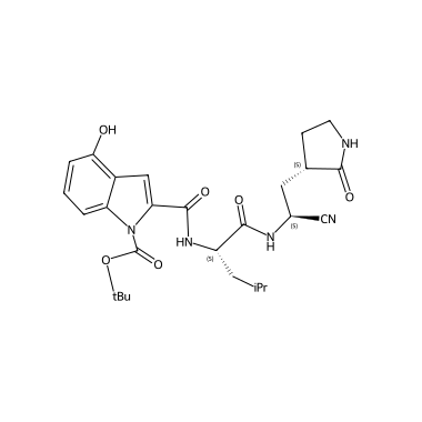 CC(C)C[C@H](NC(=O)c1cc2c(O)cccc2n1C(=O)OC(C)(C)C)C(=O)N[C@H](C#N)C[C@@H]1CCNC1=O